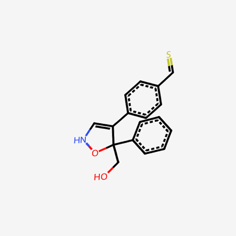 OCC1(c2ccccc2)ONC=C1c1ccc(C=S)cc1